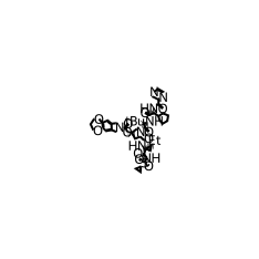 CC[C@H]1C[C@@]1(NC(=O)C1C[C@@H](OC(=O)N2Cc3cc4c(cc3C2)OCCCO4)CN1C(=O)[C@@H](NC(=O)[C@@H](NC(=O)c1cnccn1)C1CCCCC1)C(C)(C)C)C(=O)NS(=O)(=O)C1CC1